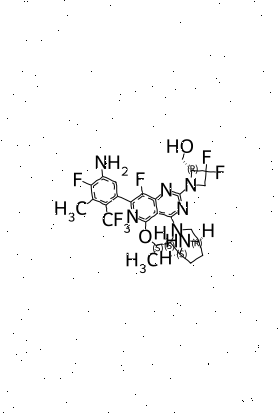 Cc1c(F)c(N)cc(-c2nc3c4c(nc(N5CC(F)(F)[C@H]5CO)nc4c2F)N2C[C@H]4CC[C@H](N4)[C@H]2[C@H](C)O3)c1C(F)(F)F